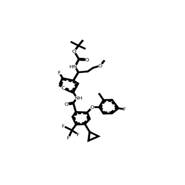 COCCC(NC(=O)OC(C)(C)C)c1cc(NC(=O)c2cc(C(F)(F)F)c(C3CC3)cc2Oc2ccc(F)cc2C)ccc1F